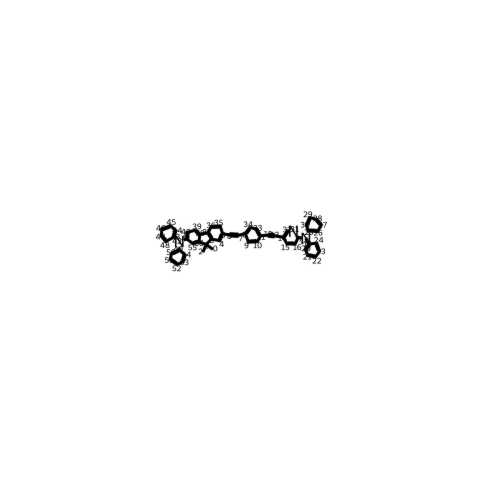 CC1(C)c2cc(C#Cc3ccc(C#Cc4ccc(N(c5ccccc5)c5ccccc5)nc4)cc3)ccc2-c2ccc(N(c3ccccc3)c3ccccc3)cc21